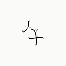 [CH3][Hf]([CH3])[O]C(C)(C)C